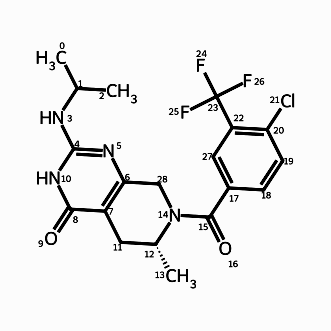 CC(C)Nc1nc2c(c(=O)[nH]1)C[C@@H](C)N(C(=O)c1ccc(Cl)c(C(F)(F)F)c1)C2